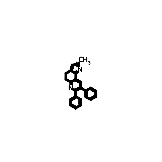 Cn1cc2c(n1)-c1cc(-c3ccccc3)c(-c3cc[c]cc3)nc1CC2